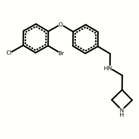 Clc1ccc(Oc2ccc(CNCC3CNC3)cc2)c(Br)c1